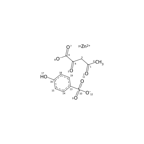 CC(=O)CC(=O)C(=O)[O-].O=S(=O)([O-])c1ccc(O)cc1.[Zn+2]